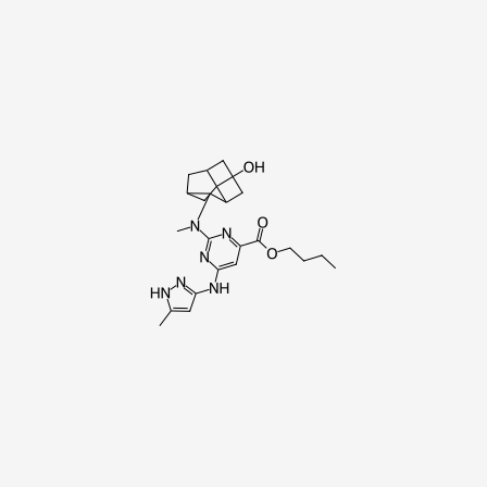 CCCCOC(=O)c1cc(Nc2cc(C)[nH]n2)nc(N(C)C2C3CC4CC5(O)CC2C45C3)n1